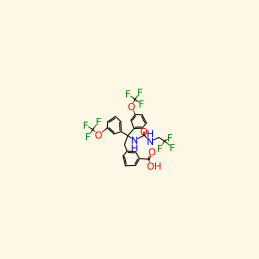 O=C(NCC(F)(F)F)NC(Cc1cccc(C(=O)O)c1)(c1cccc(OC(F)(F)F)c1)c1cccc(OC(F)(F)F)c1